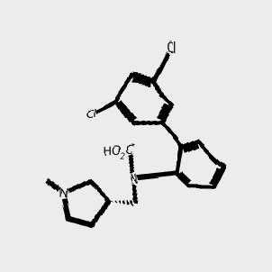 CN1CC[C@@H](CN(C(=O)O)c2ccccc2-c2cc(Cl)cc(Cl)c2)C1